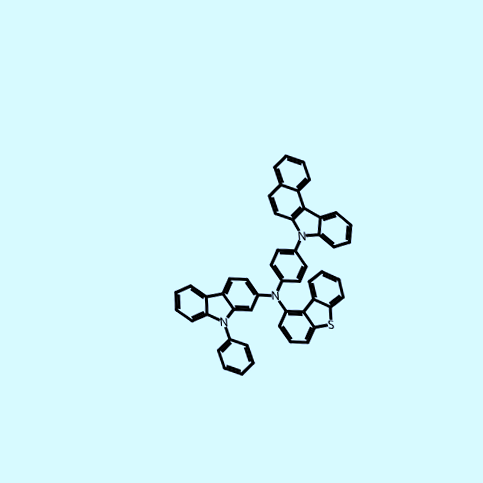 c1ccc(-n2c3ccccc3c3ccc(N(c4ccc(-n5c6ccccc6c6c7ccccc7ccc65)cc4)c4cccc5sc6ccccc6c45)cc32)cc1